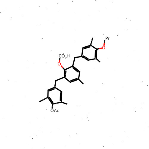 CC(=O)Oc1c(C)cc(Cc2cc(C)cc(Cc3cc(C)c(OC(C)C)c(C)c3)c2OC(=O)O)cc1C